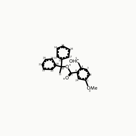 COc1ccc(C=O)c(C(=O)OC(C)(c2ccccc2)c2ccccc2)c1